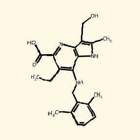 CCc1c(C(=O)O)nc2c(CO)c(C)[nH]c2c1NCc1c(C)cccc1C